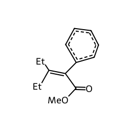 CCC(CC)=C(C(=O)OC)c1ccccc1